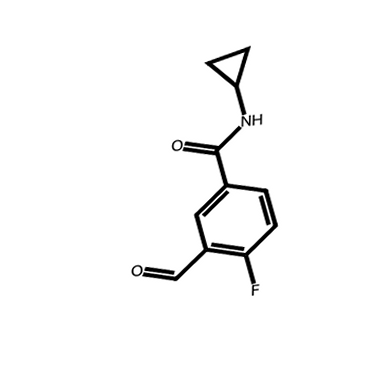 O=Cc1cc(C(=O)NC2CC2)ccc1F